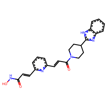 O=C(/C=C/c1cccc(/C=C/C(=O)N2CCC(c3nc4ccccc4[nH]3)CC2)n1)NO